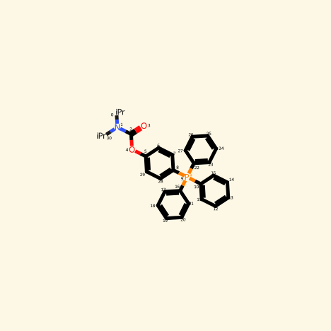 CC(C)N(C(=O)Oc1ccc([P+](c2ccccc2)(c2ccccc2)c2ccccc2)cc1)C(C)C